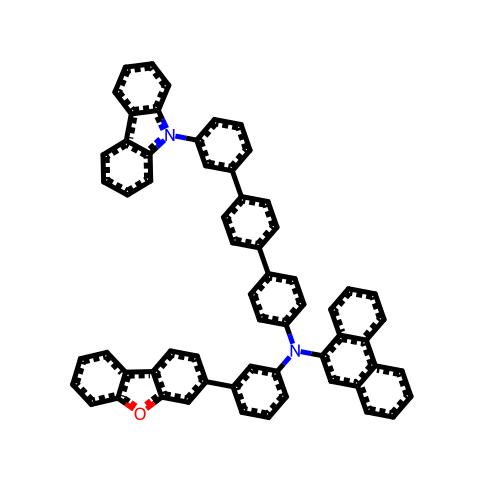 c1cc(-c2ccc3c(c2)oc2ccccc23)cc(N(c2ccc(-c3ccc(-c4cccc(-n5c6ccccc6c6ccccc65)c4)cc3)cc2)c2cc3ccccc3c3ccccc23)c1